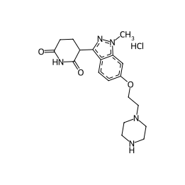 Cl.Cn1nc(C2CCC(=O)NC2=O)c2ccc(OCCN3CCNCC3)cc21